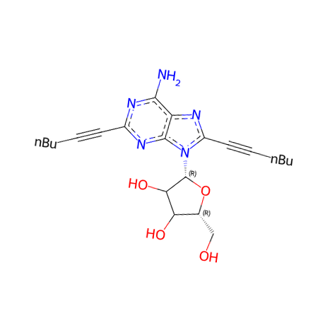 CCCCC#Cc1nc(N)c2nc(C#CCCCC)n([C@@H]3O[C@H](CO)C(O)C3O)c2n1